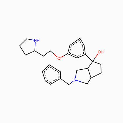 OC1(c2cccc(OCCC3CCCN3)c2)CCC2CN(Cc3ccccc3)CC21